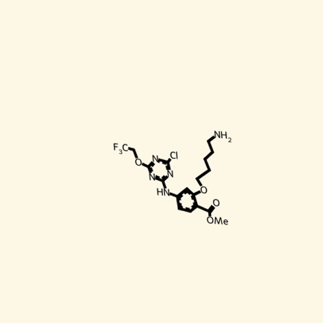 COC(=O)c1ccc(Nc2nc(Cl)nc(OCC(F)(F)F)n2)cc1OCCCCCN